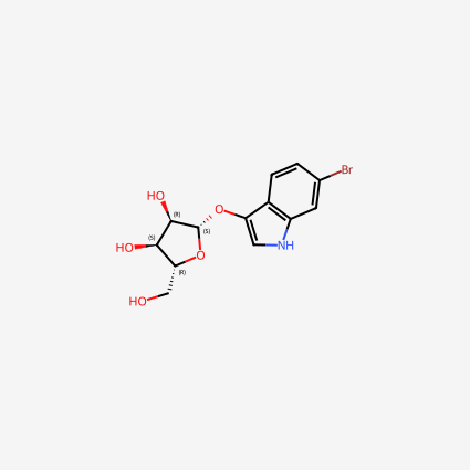 OC[C@H]1O[C@@H](Oc2c[nH]c3cc(Br)ccc23)[C@H](O)[C@@H]1O